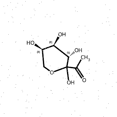 CC(=O)C1(O)OC[C@@H](O)[C@@H](O)[C@@H]1O